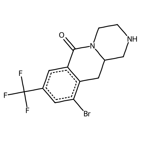 O=C1c2cc(C(F)(F)F)cc(Br)c2CC2CNCCN12